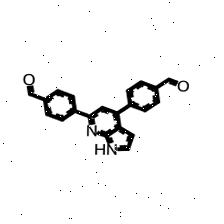 O=Cc1ccc(-c2cc(-c3ccc(C=O)cc3)c3cc[nH]c3n2)cc1